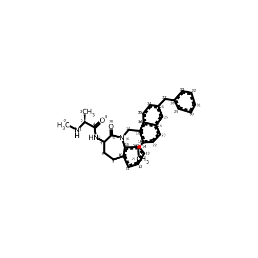 CN[C@@H](C)C(=O)NC1CCc2ccccc2N(Cc2c(OC)ccc3cc(Cc4ccccc4)ccc23)C1=O